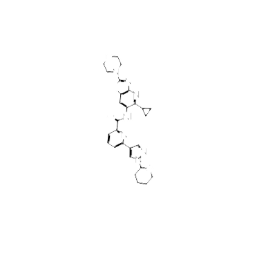 O=C(Nc1cc2sc(N3CCOCC3)nc2nc1C1CC1)c1cccc(-c2cnn(C3CCCCO3)c2)n1